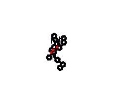 c1ccc2cc(-c3nc4ccccc4nc3-n3c4cc(-c5ccc6c7ccccc7n(-c7ccc(-c8cccc9ccccc89)cc7)c6c5)ccc4c4ccc5ccccc5c43)ccc2c1